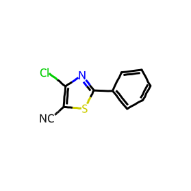 N#Cc1sc(-c2ccccc2)nc1Cl